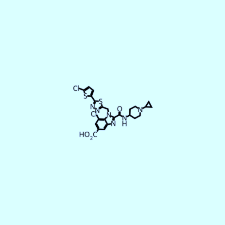 O=C(O)c1cc(Cl)c2c(c1)nc(C(=O)NC1CCN(C3CC3)CC1)n2Cc1nnc(-c2ccc(Cl)s2)s1